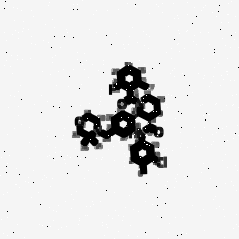 Cc1ccc(NC(=O)[C@H]2CCCN(C(=O)c3c(C)cccc3F)[C@H]2c2ccc(CN3CCOCC3(C)C)cc2)cc1Cl